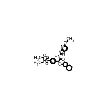 CCOc1ccc2nc(NC(=O)C(OC3CCC4(CCCCC4)C3)c3ccc(S(=O)(=O)N(CC)C(C)=O)cc3)sc2n1